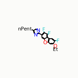 CCCCCc1cnc(-c2cc3oc4cc(OCC)c(F)cc4c3c(F)c2F)nc1